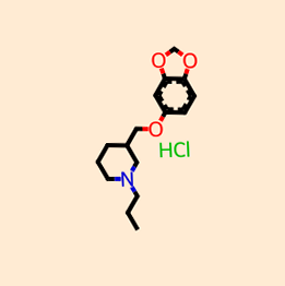 CCCN1CCCC(COc2ccc3c(c2)OCO3)C1.Cl